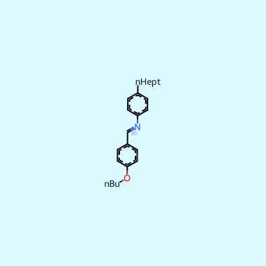 CCCCCCCc1ccc(/N=C/c2ccc(OCCCC)cc2)cc1